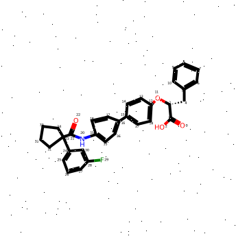 O=C(O)[C@@H](Cc1ccccc1)Oc1ccc(-c2ccc(NC(=O)C3(c4cccc(F)c4)CCCC3)cc2)cc1